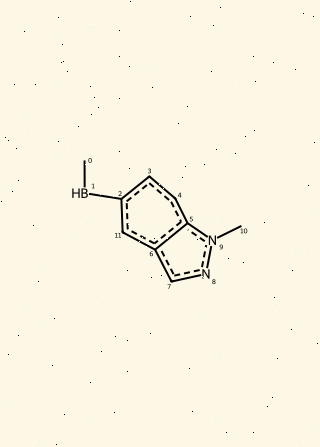 CBc1ccc2c(cnn2C)c1